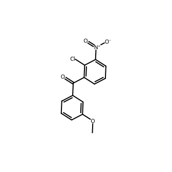 COc1cccc(C(=O)c2cccc([N+](=O)[O-])c2Cl)c1